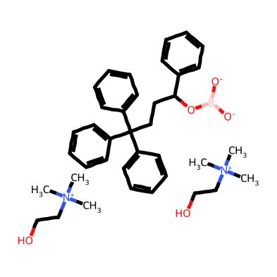 C[N+](C)(C)CCO.C[N+](C)(C)CCO.[O-]B([O-])OC(CCC(c1ccccc1)(c1ccccc1)c1ccccc1)c1ccccc1